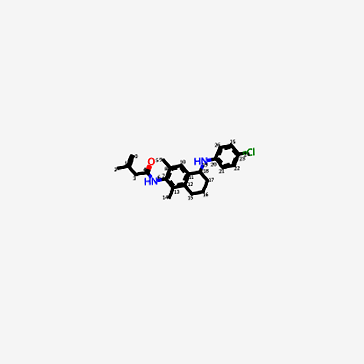 C=C(C)CC(=O)Nc1c(C)cc2c(c1C)CCCC2Nc1ccc(Cl)cc1